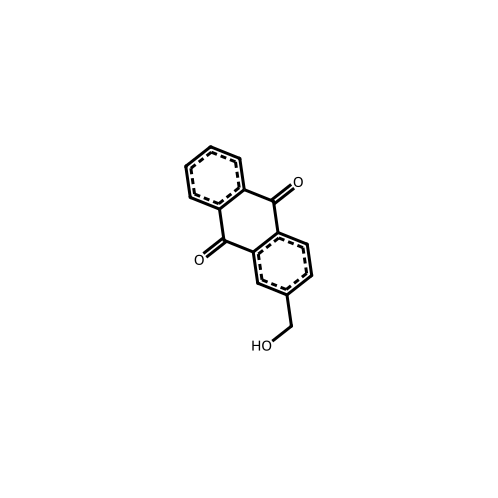 O=C1c2ccccc2C(=O)c2cc(CO)ccc21